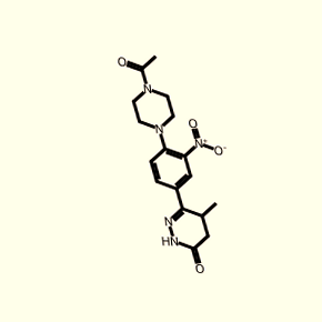 CC(=O)N1CCN(c2ccc(C3=NNC(=O)CC3C)cc2[N+](=O)[O-])CC1